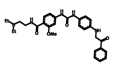 CCN(CC)CCNC(=O)c1ccc(NC(=O)Nc2ccc(NCC(=O)c3ccccc3)cc2)cc1OC